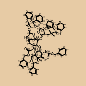 CC(C)(C[C@H]1[C@H](O[C@@H]2[C@H]3OC(=O)N[C@@H]3C[C@H](NC(=O)OCc3ccccc3)[C@H]2O[C@H]2O[C@@H]3COC(c4ccccc4)O[C@H]3C(=O)[C@H]2NC(=O)OCc2ccccc2)O[C@H](CO[Si](c2ccccc2)(c2ccccc2)C(C)(C)C)[C@H]1O)[Si](O)(c1ccccc1)c1ccccc1